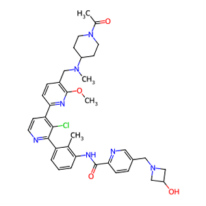 COc1nc(-c2ccnc(-c3cccc(NC(=O)c4ccc(CN5CC(O)C5)cn4)c3C)c2Cl)ccc1CN(C)C1CCN(C(C)=O)CC1